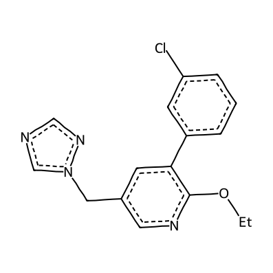 CCOc1ncc(Cn2cncn2)cc1-c1cccc(Cl)c1